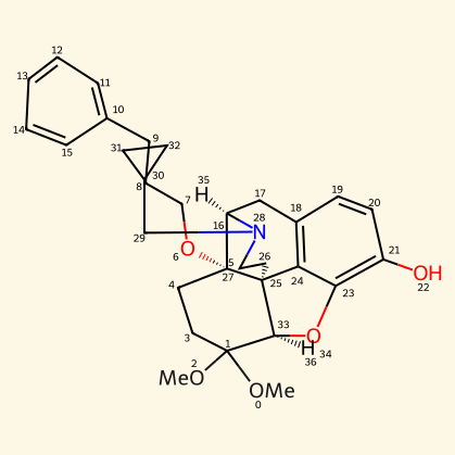 COC1(OC)CC[C@@]2(OCCCc3ccccc3)[C@H]3Cc4ccc(O)c5c4[C@@]2(CCN3CC2CC2)[C@H]1O5